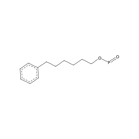 O=POCCCCCCc1ccccc1